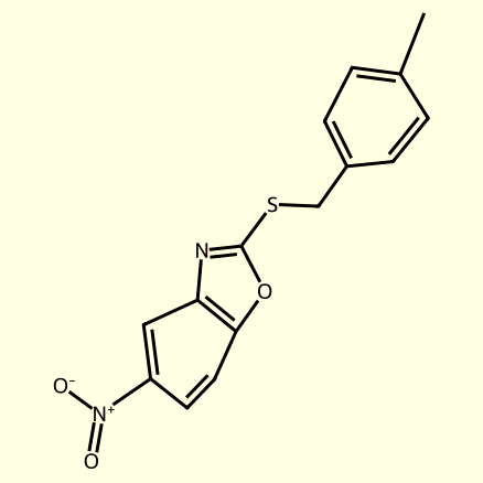 Cc1ccc(CSc2nc3cc([N+](=O)[O-])ccc3o2)cc1